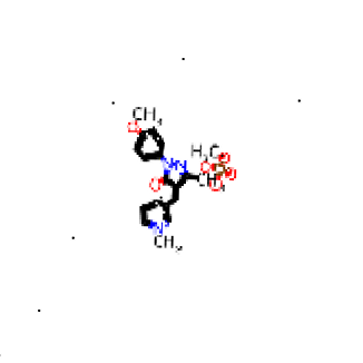 COS(=O)(=O)[O-].COc1ccc(N2N=C(C)C(=Cc3ccc[n+](C)c3)C2=O)cc1